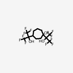 CC1(C(O)(C(F)(F)F)C(F)(F)F)CCCC(C(O)(C(F)(F)F)C(F)(F)F)CC1